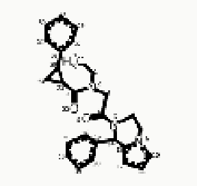 CCN(CC(=O)N1CCn2cccc2C1c1ccccc1)C(=O)C1CC1c1ccccc1